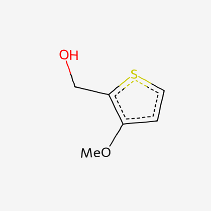 COc1ccsc1CO